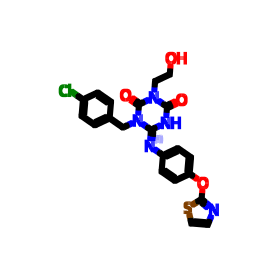 O=c1[nH]/c(=N\c2ccc(Oc3nccs3)cc2)n(Cc2ccc(Cl)cc2)c(=O)n1CCO